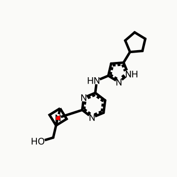 OCC12CC(C1)N(c1nccc(Nc3cc(C4CCCC4)[nH]n3)n1)C2